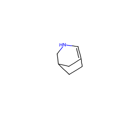 C1=C2CCC(CN1)C2